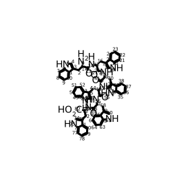 N[C@H](Cc1c[nH]c2ccccc12)C(=O)N[C@@H](Cc1c[nH]c2ccccc12)C(=O)N[C@H](Cc1c[nH]c2ccccc12)C(=O)N[C@@H](Cc1c[nH]c2ccccc12)C(=O)N[C@H](Cc1c[nH]c2ccccc12)C(=O)N[C@@H](Cc1c[nH]c2ccccc12)C(=O)O